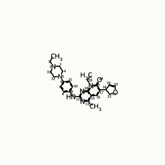 CCN1CCN(c2ccc(Nc3nc(C)c4cc(C5C=COC5)c(=O)n(CC)c4n3)cc2)CC1